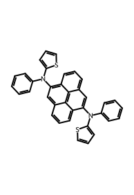 c1ccc(N(c2cccs2)c2cc3cccc4c(N(c5ccccc5)c5cccs5)cc5cccc2c5c34)cc1